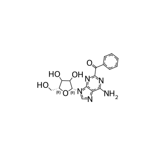 Nc1nc(C(=O)c2ccccc2)nc2c1ncn2[C@@H]1O[C@H](CO)C(O)C1O